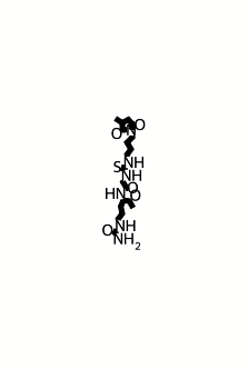 CC(=O)C(CCCNC(N)=O)NC(=O)CNC(=S)NCCCCN1C(=O)CC(C)C1=O